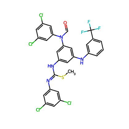 CSC(=Nc1cc(Cl)cc(Cl)c1)Nc1cc(Nc2cccc(C(F)(F)F)c2)cc(N(C=O)c2cc(Cl)cc(Cl)c2)c1